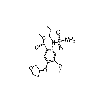 CCCN(c1cc(OC)c(O[C@H]2CCOC2)cc1C(=O)OC)S(N)(=O)=O